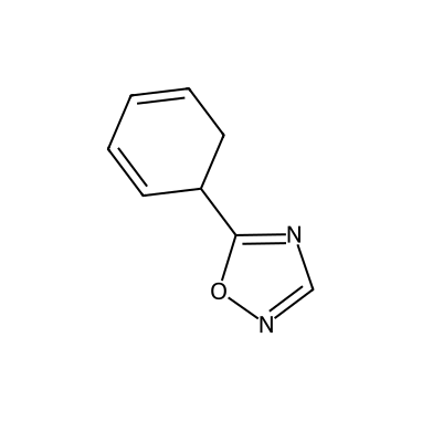 C1=CCC(c2ncno2)C=C1